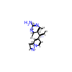 C/C=C(/c1ccn2nccc2c1)c1c(C)nc(N)nc1C